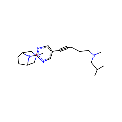 CC(C)CN(C)CCCC#Cc1cnc(N2C3CCC2CN(C)C3)nc1